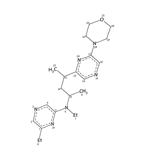 CCc1cncc(N(CC)C(C)CC(C)c2cncc(N3CCOCC3)n2)n1